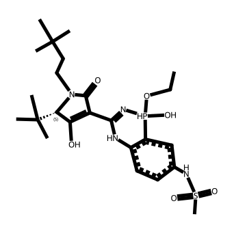 CCO[PH]1(O)N=C(C2=C(O)[C@H](C(C)(C)C)N(CCC(C)(C)C)C2=O)Nc2ccc(NS(C)(=O)=O)cc21